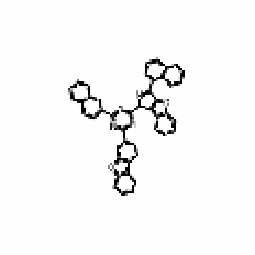 c1ccc2cc(-c3nc(-c4ccc5c(c4)oc4ccccc45)nc(C4N=C(c5cccc6ccccc56)c5oc6ccccc6c54)n3)ccc2c1